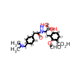 CN(C)Cc1ccc(CC(=O)N[C@@H](Cc2cccc(C(=O)O)c2OC=O)B(O)O)cc1